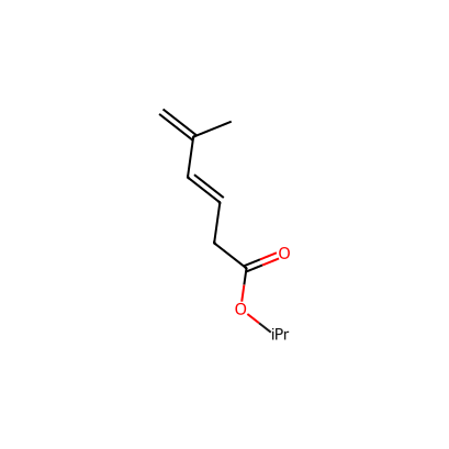 C=C(C)C=CCC(=O)OC(C)C